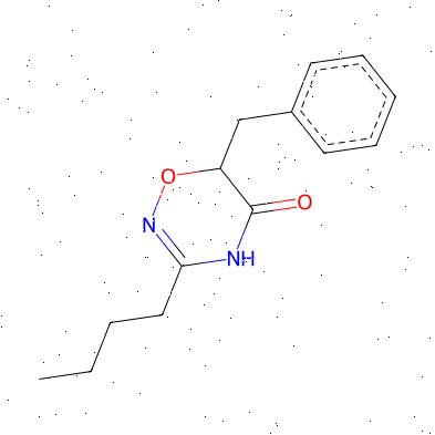 CCCCC1=NOC(Cc2ccccc2)C(=O)N1